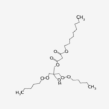 CCCCCCCCCOC(=O)CC(=O)OCC(CO)(COOCCCCC)COOCCCCC